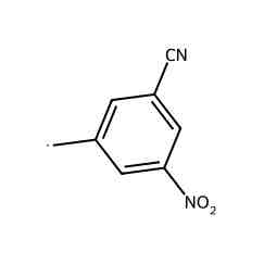 [CH2]c1cc(C#N)cc([N+](=O)[O-])c1